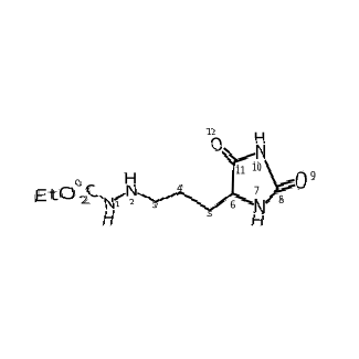 CCOC(=O)NNCCCC1NC(=O)NC1=O